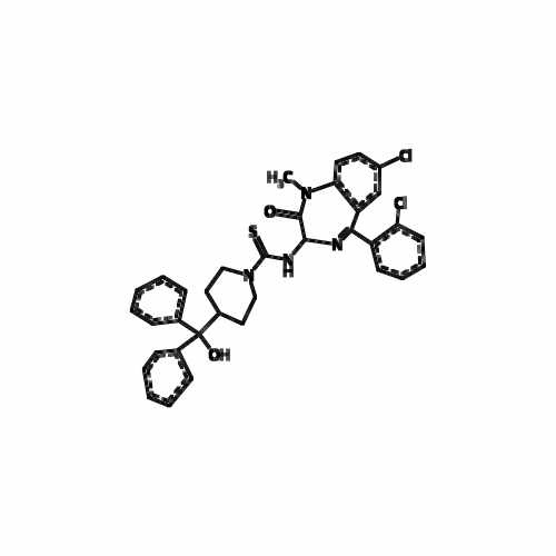 CN1C(=O)C(NC(=S)N2CCC(C(O)(c3ccccc3)c3ccccc3)CC2)N=C(c2ccccc2Cl)c2cc(Cl)ccc21